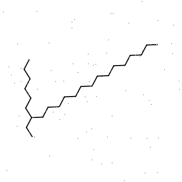 [CH2]CC(CCCCCC)CCCCCCCCCCCCCCC